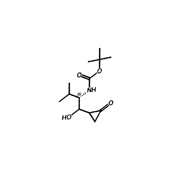 CC(C)[C@H](NC(=O)OC(C)(C)C)C(O)C1CC1=O